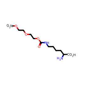 NC(CCCCNC(=O)OCCOCCO[N+](=O)[O-])C(=O)O